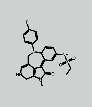 CCS(=O)(=O)NC1=CC2=C3C(=O)N(C)C4=C3C(=CNC4)CN(c3ccc(F)cc3)C2C=C1